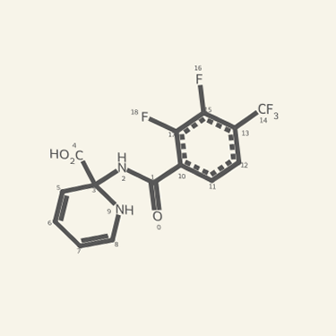 O=C(NC1(C(=O)O)C=CC=CN1)c1ccc(C(F)(F)F)c(F)c1F